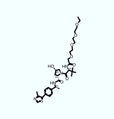 [CH2]COCCOCCOCCOCC(=O)N[C@H](C(=O)N1C[C@H](O)C[C@H]1C(=O)N[C@@H](C)c1ccc(-c2scnc2C)cc1)C(C)(C)C